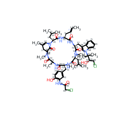 C/C=C/C[C@@H]1NC(=O)[C@H](CC(C)C)N2C=C(C)C[C@@H](C2=O)N(C)C(=O)[C@H](C)NC(=O)[C@H](Cc2ccc(O)c(NC(=O)CCl)c2)NC(=O)[C@H](CC(C)C)N(C)C(=O)[C@H](Cc2cn(C(C)(C)[C@H](O)CCl)c3ccccc23)NC1=O